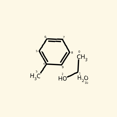 CCO.Cc1ccccc1.O